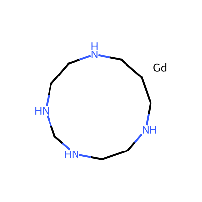 C1CNCCNCNCCNC1.[Gd]